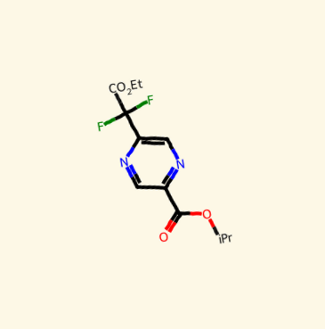 CCOC(=O)C(F)(F)c1cnc(C(=O)OC(C)C)cn1